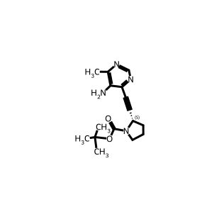 Cc1ncnc(C#C[C@@H]2CCCN2C(=O)OC(C)(C)C)c1N